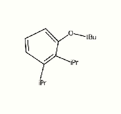 CC(C)c1cccc(OC(C)(C)C)c1C(C)C